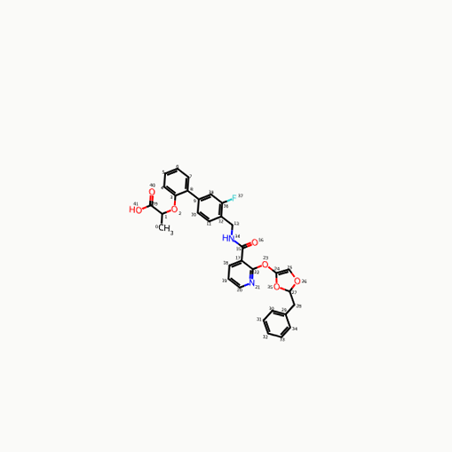 CC(Oc1ccccc1-c1ccc(CNC(=O)c2cccnc2OC2=COC(Cc3ccccc3)O2)c(F)c1)C(=O)O